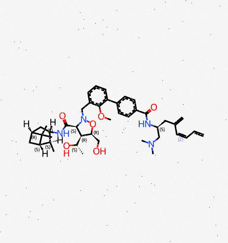 C=C/C=C\C(=C)C[C@@H](CN(C)C)NC(=O)c1ccc(-c2cccc(CN3O[C@@H](CO)[C@@H]([C@H](C)O)[C@H]3C(=O)N[C@H]3C[C@H]4C[C@@H]([C@@H]3C)C4(C)C)c2OC)cc1